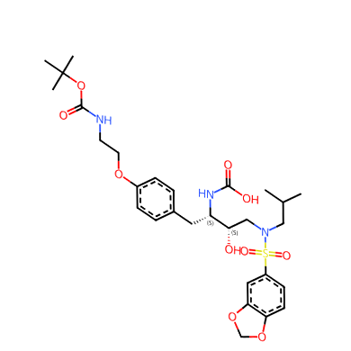 CC(C)CN(C[C@H](O)[C@H](Cc1ccc(OCCNC(=O)OC(C)(C)C)cc1)NC(=O)O)S(=O)(=O)c1ccc2c(c1)OCO2